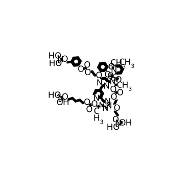 COc1ccccc1Oc1c(OCCOC(=O)Oc2cccc(CON(O)O)c2)nc(-c2ccnc(-c3nnnn3C(C)OC(=O)OCCCCCON(O)O)c2)nc1N(C(C)OC(=O)OCCOCCON(O)O)S(=O)(=O)c1ccc(C)cn1